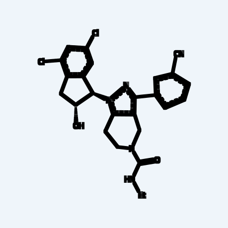 CCNC(=O)N1CCc2c(c(-c3cccc(C#N)c3)nn2[C@@H]2c3cc(Cl)cc(Cl)c3C[C@H]2O)C1